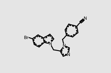 N#Cc1ccc(Cn2cncc2Cn2ccc3cc(Br)ccc32)cc1